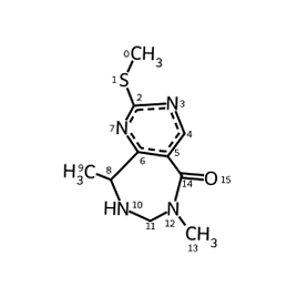 CSc1ncc2c(n1)C(C)NCN(C)C2=O